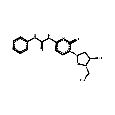 O=C(Nc1ccccc1)Nc1ccn([C@H]2C[C@@H](O)[C@@H](CO)O2)c(=O)n1